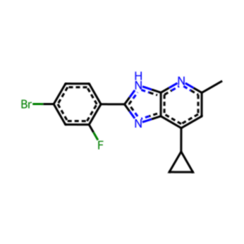 Cc1cc(C2CC2)c2nc(-c3ccc(Br)cc3F)[nH]c2n1